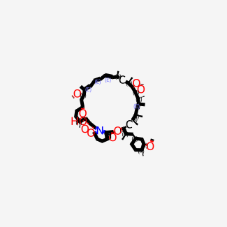 CO[C@H]1CC2CC[C@@H](C)[C@@](O)(O2)C(=O)C(=O)N2CCCC[C@H]2C(=O)O[C@H]([C@H](C)C[C@@H]2CC[C@@H](C)[C@H](OC)C2)C[C@H](C)[C@H](C)/C=C(\C)[C@@H](C)[C@@H](OC)C(=O)[C@H](C)C[C@H](C)/C=C/C=C/C=C/1C